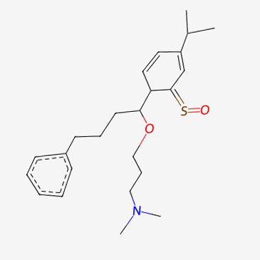 CC(C)C1=CC(=S=O)C(C(CCCc2ccccc2)OCCCN(C)C)C=C1